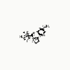 Cc1cnc([C@@H]2CCON2C(=O)C(C)(C)C)cn1